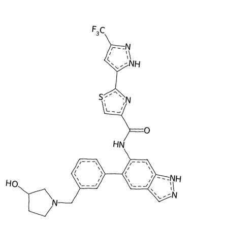 O=C(Nc1cc2[nH]ncc2cc1-c1cccc(CN2CCC(O)C2)c1)c1csc(-c2cc(C(F)(F)F)n[nH]2)n1